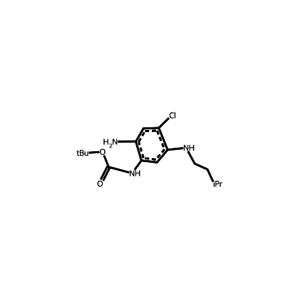 CC(C)CCNc1cc(NC(=O)OC(C)(C)C)c(N)cc1Cl